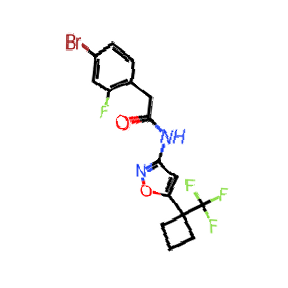 O=C(Cc1ccc(Br)cc1F)Nc1cc(C2(C(F)(F)F)CCC2)on1